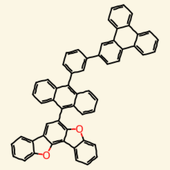 c1cc(-c2ccc3c4ccccc4c4ccccc4c3c2)cc(-c2c3ccccc3c(-c3cc4c5ccccc5oc4c4c3oc3ccccc34)c3ccccc23)c1